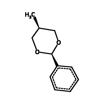 C[C@H]1CO[C@@H](c2ccccc2)OC1